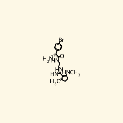 CNC1=C(C(=N)NCCNC(=O)[C@H](CN)c2ccc(Br)cc2)[C@H](C)CC1